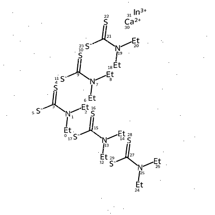 CCN(CC)C(=S)[S-].CCN(CC)C(=S)[S-].CCN(CC)C(=S)[S-].CCN(CC)C(=S)[S-].CCN(CC)C(=S)[S-].[Ca+2].[In+3]